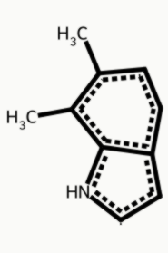 Cc1ccc2c[c][nH]c2c1C